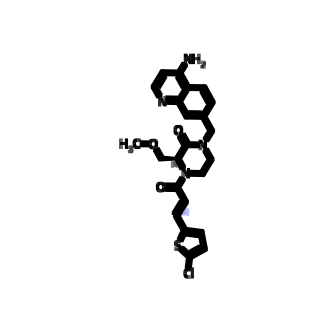 COC[C@H]1C(=O)N(Cc2ccc3c(N)ccnc3c2)CCN1C(=O)/C=C/c1ccc(Cl)s1